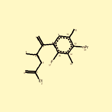 C=C(CC)CC(C)C(=C)c1cc(C)c(CCC)c(C)c1F